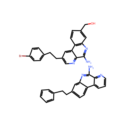 Nc1nc2cc(CCc3ccccc3)ccc2c2cccnc12.Nc1nc2cc(CO)ccc2c2cc(CCc3ccc(Br)cc3)cnc12